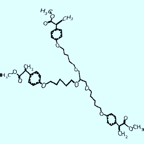 C=C(C(=O)OC)c1ccc(OCCCCCOCC(COCCCCCOc2ccc(C(=C)C(=O)OC)cc2)OCCCCCOc2ccc(C(=C)C(=O)OC)cc2)cc1